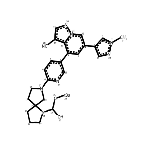 Cn1cc(-c2cc(-c3ccc(N4CCC5(CCCN5C(O)OC(C)(C)C)C4)nc3)c3c(C#N)cnn3c2)cn1